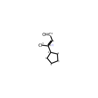 O=C/C=C(\Cl)C1CCCC1